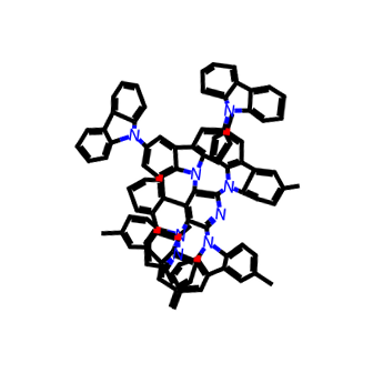 Cc1ccc2c(c1)c1cc(C)ccc1n2-c1nc(-n2c3ccc(C)cc3c3cc(C)ccc32)c(-n2c3ccc(-n4c5ccccc5c5ccccc54)cc3c3cc(-n4c5ccccc5c5ccccc54)ccc32)c(-c2ccccc2-c2ccc(C)nc2C)c1-n1c2ccc(C)cc2c2cc(C)ccc21